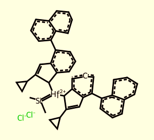 C[Si](C)=[Hf+2]([CH]1C(C2CC2)=Cc2c(-c3cccc4ccccc34)cccc21)[CH]1C(C2CC2)=Cc2c(-c3cccc4ccccc34)cccc21.[Cl-].[Cl-]